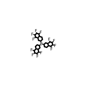 Fc1c(F)c(F)c2cc(B(c3ccc4c(F)c(F)c(F)c(F)c4c3)c3ccc4c(F)c(F)c(F)c(F)c4c3)ccc2c1F